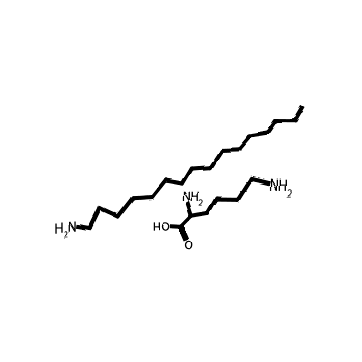 CCCCCCCCCCCCCCCCN.NCCCCC(N)C(=O)O